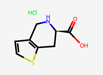 Cl.O=C(O)[C@H]1Cc2sccc2CN1